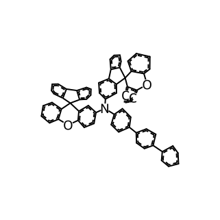 c1ccc(-c2ccc(-c3ccc(N(c4ccc5c(c4)C4(c6ccccc6O5)c5ccccc5-c5ccccc54)c4ccc5c(c4)C4(c6ccccc6Oc6ccccc64)c4ccccc4-5)cc3)cc2)cc1